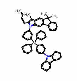 C=C/C=C\c1c(C)c2cc3c(cc2n1-c1cccc([Si](c2ccccc2)(c2ccccc2)c2ccc(-n4c5ccccc5c5ccccc54)cc2)c1)-c1ccccc1C3(C)C